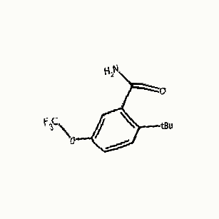 CC(C)(C)c1ccc(OC(F)(F)F)cc1C(N)=O